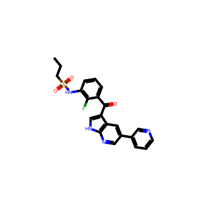 CCCS(=O)(=O)Nc1cccc(C(=O)c2c[nH]c3ncc(-c4cccnc4)cc23)c1F